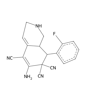 N#CC1=C(N)C(C#N)(C#N)C(c2ccccc2F)C2CNCC=C12